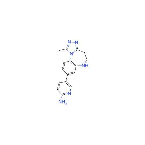 Cc1nnc2n1-c1ccc(-c3ccc(N)nc3)cc1NCC2